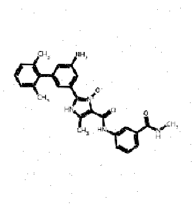 CNC(=O)c1cccc(NC(=O)c2c(C)[nH]c(-c3cc(N)cc(-c4c(C)cccc4C)c3)[n+]2[O-])c1